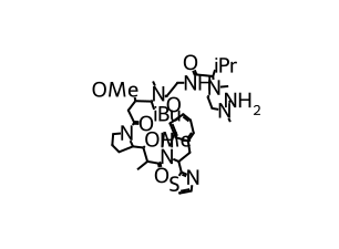 CCC(C)C(C(CC(=O)N1CCCC1C(OC)C(C)C(=O)NC(Cc1ccccc1)c1nccs1)OC)N(C)C(=O)CNC(=O)C(C(C)C)N(C)CCN(C)N